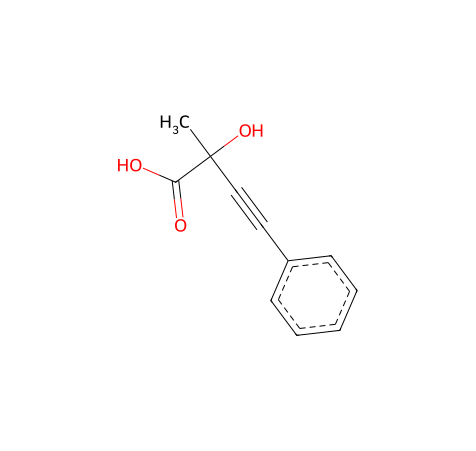 CC(O)(C#Cc1ccccc1)C(=O)O